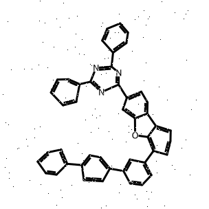 c1ccc(-c2ccc(-c3cccc(-c4cccc5c4oc4cc(-c6nc(-c7ccccc7)nc(-c7ccccc7)n6)ccc45)c3)cc2)cc1